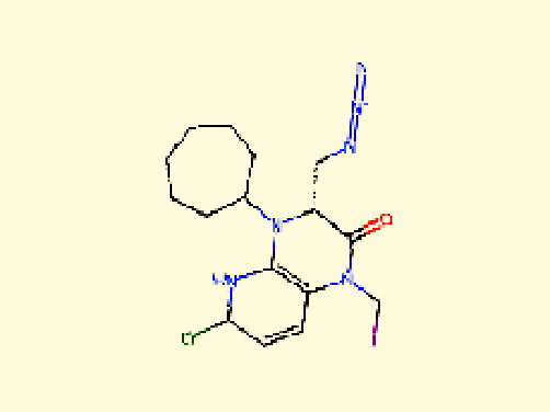 [N-]=[N+]=NC[C@@H]1C(=O)N(CI)C2=C(NC(Cl)C=C2)N1C1CCCCCC1